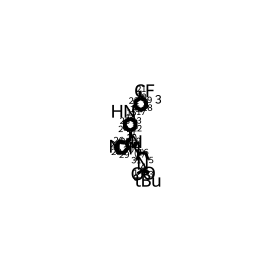 CC(C)(C)OC(=O)N1CC[C@@H](n2nc(-c3ccc(Nc4cccc(C(F)(F)F)c4)cc3)c3cnccc32)C1